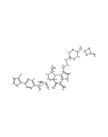 Cc1ncsc1-c1ccc([C@H](C)NC(=O)[C@@H]2C[C@@H](O)CN2C(=O)[C@@H](c2cc(OCCN3CCC(O[C@H]4C[C@H](C)C4)CC3)no2)C(C)C)cc1